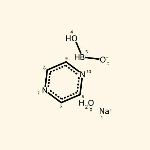 O.[Na+].[O-]BO.c1cnccn1